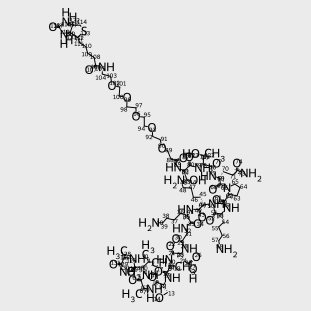 CC(C)[C@@H](NC(=O)[C@H](C)NC(=O)[C@@H](CO)NC(=O)[C@H](C)NC(=O)[C@@H](CC(=O)O)NC(=O)CNC(=O)[C@@H](CCCCN)NC(=O)[C@H](CCCCN)NC(=O)[C@@H](CCCCN)NC(=O)[C@@H]1CCCN1C(=O)[C@@H](CCC(N)=O)NC(=O)C(NC(=O)[C@@H](CO)NC(=O)CCOCCOCCOCCOCCOCCNC(=O)CCCC[C@@H]1SC[C@H]2NC(=O)N[C@@H]12)[C@H](C)O)C(=O)N[C@@H](C)C(N)=O